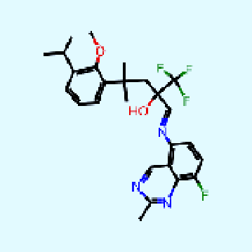 COc1c(C(C)C)cccc1C(C)(C)CC(O)(C=Nc1ccc(F)c2nc(C)ncc12)C(F)(F)F